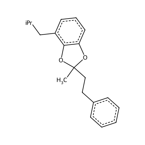 CC(C)Cc1cccc2c1OC(C)(CCc1ccccc1)O2